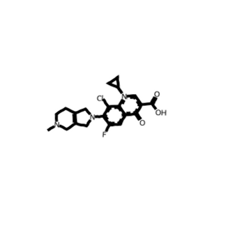 CN1CCC2=C(C1)CN(c1c(F)cc3c(=O)c(C(=O)O)cn(C4CC4)c3c1Cl)C2